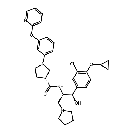 O=C(N[C@H](CN1CCCC1)[C@H](O)c1ccc(OC2CC2)c(Cl)c1)[C@@H]1CCN(c2cccc(Oc3ccccn3)c2)C1